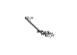 NC(=O)CCC(NC(=O)C1CCC(CNC(=O)CCCCCCCCCCCCCCCCCCC(=O)O)CC1)C(=O)O